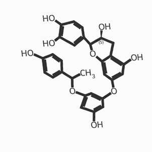 CC(Oc1cc(O)cc(Oc2cc(O)c3c(c2)OC(c2ccc(O)c(O)c2)[C@@H](O)C3)c1)c1ccc(O)cc1